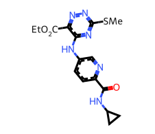 CCOC(=O)c1nnc(SC)nc1Nc1ccc(C(=O)NC2CC2)nc1